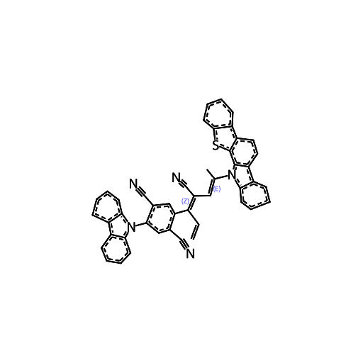 C=C/C(=C(C#N)\C=C(/C)n1c2ccccc2c2ccc3c4ccccc4sc3c21)c1cc(C#N)c(-n2c3ccccc3c3ccccc32)cc1C#N